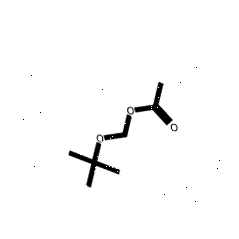 CC(=O)OCOC(C)(C)C